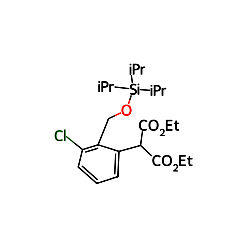 CCOC(=O)C(C(=O)OCC)c1cccc(Cl)c1CO[Si](C(C)C)(C(C)C)C(C)C